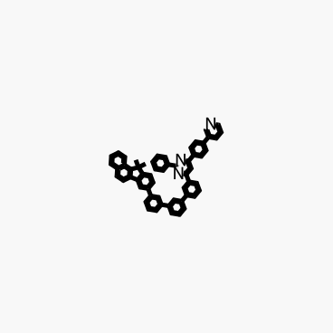 CC1(C)c2ccc(-c3cccc(-c4cccc(-c5cccc(-c6cc(-c7ccc(-c8cccnc8)cc7)nc(-c7ccccc7)n6)c5)c4)c3)cc2-c2ccc3ccccc3c21